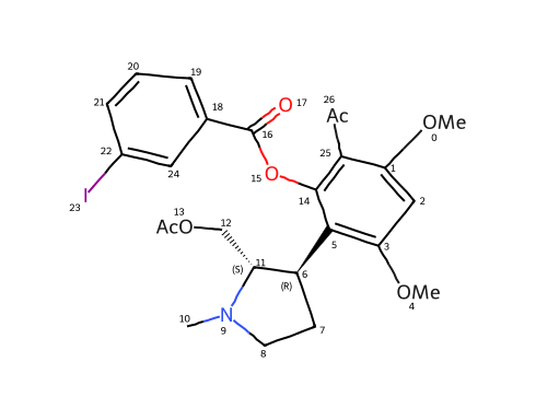 COc1cc(OC)c([C@H]2CCN(C)[C@@H]2COC(C)=O)c(OC(=O)c2cccc(I)c2)c1C(C)=O